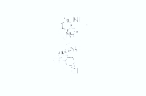 COCCc1nc2c(N)ncc(C)c2n1CCCS(=O)(=O)c1ccc(Cl)cc1Cl